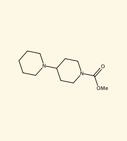 COC(=O)N1CCC(N2CCCCC2)CC1